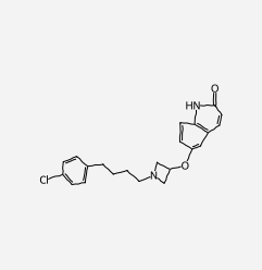 O=c1ccc2cc(OC3CN(CCCCc4ccc(Cl)cc4)C3)ccc2[nH]1